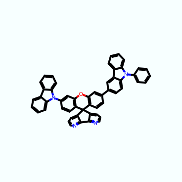 c1ccc(-n2c3ccccc3c3cc(-c4ccc5c(c4)Oc4cc(-n6c7ccccc7c7ccccc76)ccc4C54c5cccnc5-c5ncccc54)ccc32)cc1